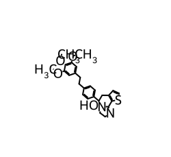 COc1cc(CCc2ccc(C3(O)Cc4ccsc4C4=NCCN43)cc2)cc(OC)c1OC